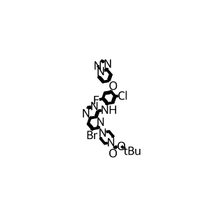 CC(C)(C)OC(=O)N1CCN(c2nc3c(Nc4cc(Cl)c(Oc5ccn6ncnc6c5)cc4F)ncnc3cc2Br)CC1